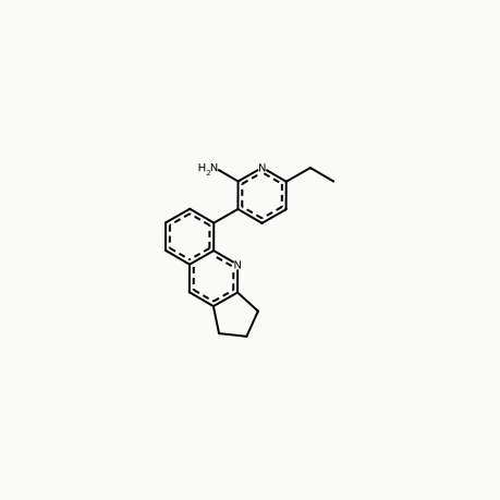 CCc1ccc(-c2cccc3cc4c(nc23)CCC4)c(N)n1